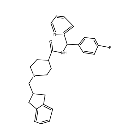 O=C(NC(c1ccc(F)cc1)c1ccccn1)C1CCN(CC2Cc3ccccc3C2)CC1